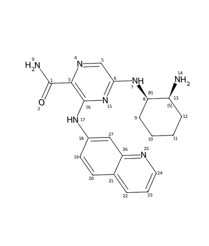 NC(=O)c1ncc(N[C@@H]2CCCC[C@@H]2N)nc1Nc1ccc2cccnc2c1